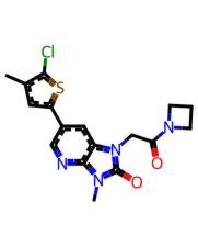 Cc1cc(-c2cnc3c(c2)n(CC(=O)N2CCC2)c(=O)n3C)sc1Cl